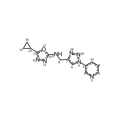 c1cncc(-n2cc(CNc3nnc(C4CC4)o3)nn2)c1